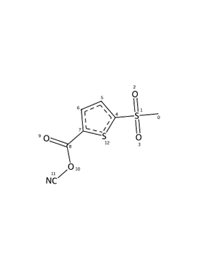 CS(=O)(=O)c1ccc(C(=O)OC#N)s1